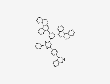 c1ccc(-c2nc(-c3ccc(-c4cncc5ccccc45)cc3)cc(-c3cc(-c4cc5ccc6ccccc6c5c5ccccc45)cc(-c4cc5ccc6ccccc6c5c5ccccc45)c3)n2)cc1